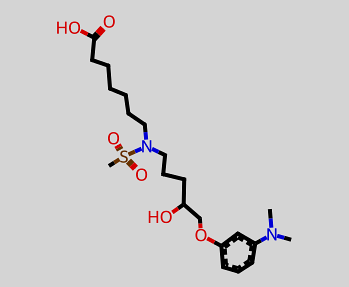 CN(C)c1cccc(OCC(O)CCCN(CCCCCCC(=O)O)S(C)(=O)=O)c1